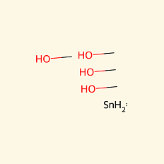 CO.CO.CO.CO.[SnH2]